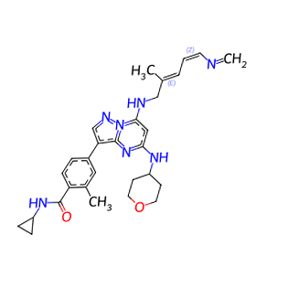 C=N/C=C\C=C(/C)CNc1cc(NC2CCOCC2)nc2c(-c3ccc(C(=O)NC4CC4)c(C)c3)cnn12